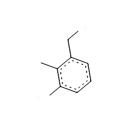 [CH2]c1c(CO)cccc1C(F)(F)F